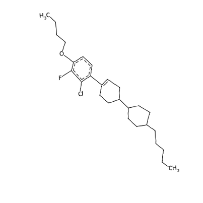 CCCCCC1CCC(C2CC=C(c3ccc(OCCCC)c(F)c3Cl)CC2)CC1